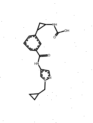 O=C(O)NC1CC1c1cccc(C(=O)Nc2cnn(CC3CC3)c2)c1